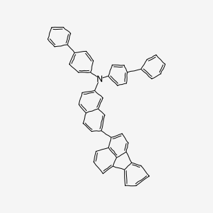 c1ccc(-c2ccc(N(c3ccc(-c4ccccc4)cc3)c3ccc4ccc(-c5ccc6c7c(cccc57)-c5ccccc5-6)cc4c3)cc2)cc1